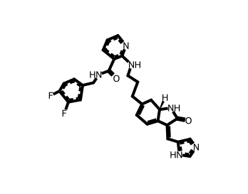 O=C1N[C@H]2CC(CCCNc3ncccc3C(=O)NCc3ccc(F)c(F)c3)=CC=C2/C1=C/c1cnc[nH]1